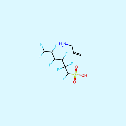 C=CCN.O=S(=O)(O)C(F)C(F)(F)C(F)C(F)C(F)C(F)F